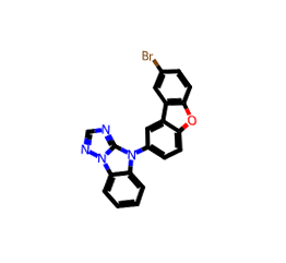 Brc1ccc2oc3ccc(-n4c5ccccc5n5ncnc45)cc3c2c1